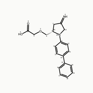 N=C1C[C@@H](COCC(=O)O)N(c2ccc(-c3ccccc3)cc2)C1